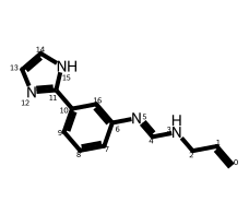 C=CCNC=Nc1cccc(-c2ncc[nH]2)c1